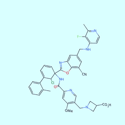 COc1cc(C(=O)NC2(c3nc4cc(CNc5ccnc(C)c5F)cc(C#N)c4o3)C=CC=C(c3ccccc3C)C2Cl)ncc1CN1CC(C(=O)O)C1